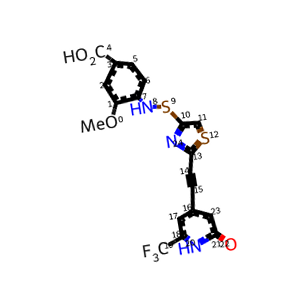 COc1cc(C(=O)O)ccc1NSc1csc(C#Cc2cc(C(F)(F)F)[nH]c(=O)c2)n1